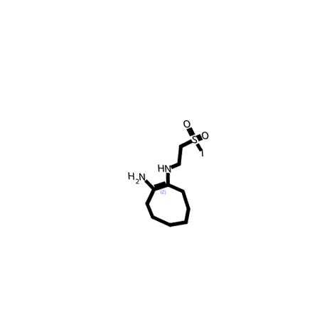 N/C1=C(\NCCS(=O)(=O)I)CCCCCC1